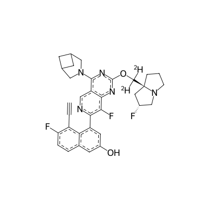 [2H]C([2H])(Oc1nc(N2CC3CC(C3)C2)c2cnc(-c3cc(O)cc4ccc(F)c(C#C)c34)c(F)c2n1)[C@@]12CCCN1C[C@H](F)C2